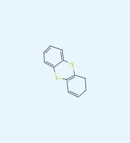 C1=CC2=C(CC1)Sc1ccccc1S2